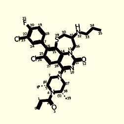 C=CC(=O)N1[C@H](C)CN(c2nc(=O)n3c4c(c(-c5ccc(F)c(Cl)c5)c(Cl)cc24)SCC(NCCC)C3)C[C@@H]1C